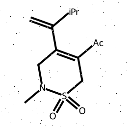 C=C(C1=C(C(C)=O)CS(=O)(=O)N(C)C1)C(C)C